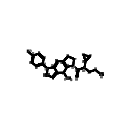 C[C@H]1C2=CNN(c3ccc(F)cc3)C2=CC2=C1[C@@H](C(=O)N(CCC#N)C1CC1)CC2